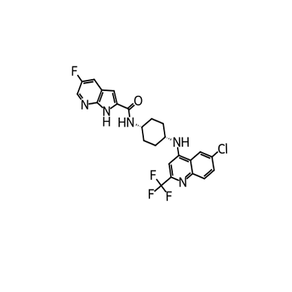 O=C(N[C@H]1CC[C@@H](Nc2cc(C(F)(F)F)nc3ccc(Cl)cc23)CC1)c1cc2cc(F)cnc2[nH]1